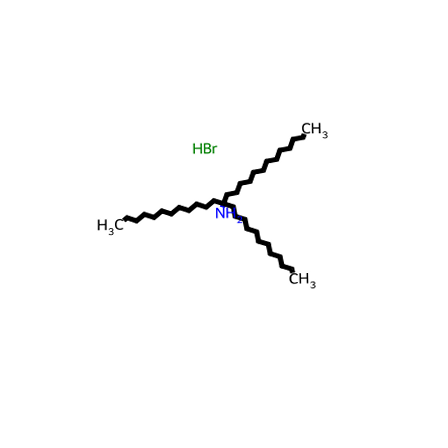 Br.CCCCCCCCCCCCCC(N)(CCCCCCCCCCCC)CCCCCCCCCCCC